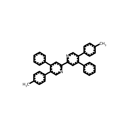 Cc1ccc(-c2cnc(-c3cc(-c4ccccc4)c(-c4ccc(C)cc4)cn3)cc2-c2ccccc2)cc1